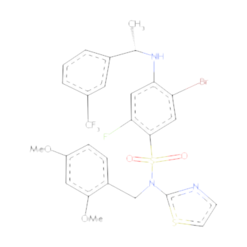 COc1ccc(CN(c2nccs2)S(=O)(=O)c2cc(Br)c(N[C@@H](C)c3cccc(C(F)(F)F)c3)cc2F)c(OC)c1